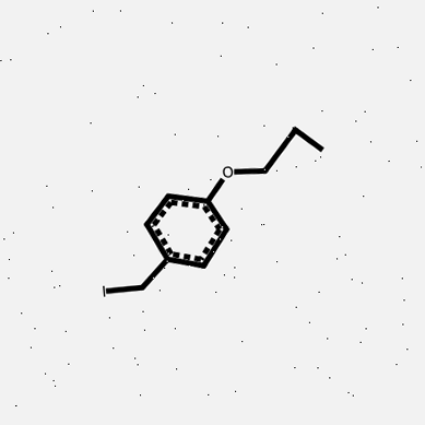 CCCOc1ccc(CI)cc1